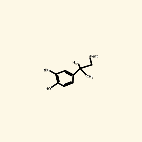 CCCC(C)CC(C)(C)c1ccc(O)c(C(C)(C)C)c1